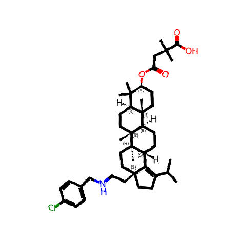 CC(C)C1=C2[C@H]3CC[C@@H]4[C@@]5(C)CC[C@H](OC(=O)CC(C)(C)C(=O)O)C(C)(C)[C@@H]5CC[C@@]4(C)[C@]3(C)CC[C@@]2(CCNCc2ccc(Cl)cc2)CC1